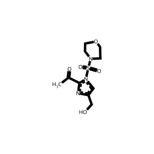 CC(=O)c1nc(CO)cn1S(=O)(=O)N1CCOCC1